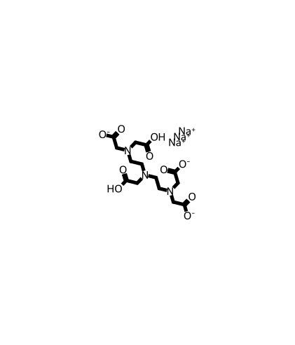 O=C([O-])CN(CCN(CCN(CC(=O)[O-])CC(=O)O)CC(=O)O)CC(=O)[O-].[Na+].[Na+].[Na+]